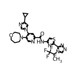 C[C@H](n1cnnc1-c1nc(NC(=O)c2cc(-n3cnc(C4CC4)c3)c(N3CCCOCC3)cn2)cs1)C(F)(F)F